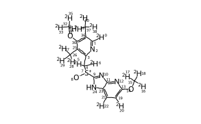 [2H]c1nc(C([2H])([2H])[S+]([O-])c2nc3nc(OC([2H])([2H])[2H])c([2H])c([2H])c3[nH]2)c(C([2H])([2H])[2H])c(OC([2H])([2H])[2H])c1C([2H])([2H])[2H]